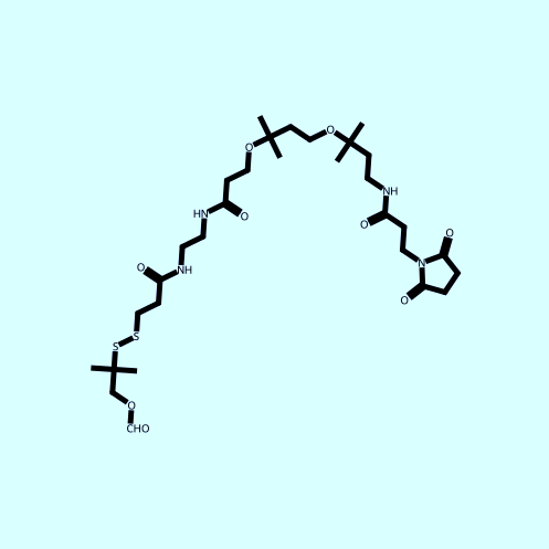 CC(C)(CCNC(=O)CCN1C(=O)CCC1=O)OCCC(C)(C)OCCC(=O)NCCNC(=O)CCSSC(C)(C)COC=O